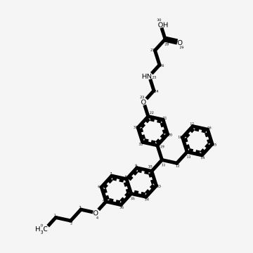 CCCCOc1ccc2cc(C(Cc3ccccc3)c3ccc(OCNCCC(=O)O)cc3)ccc2c1